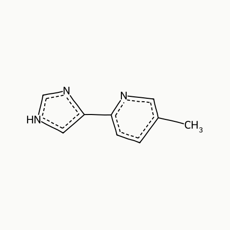 Cc1ccc(-c2c[nH]cn2)nc1